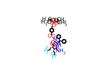 CC(C)(C)OP(=O)(OCc1ccc(C(=O)OCN2C(=O)[C@@H](NC(=O)[C@H](CCC(F)(F)F)[C@H](CCC(F)(F)F)C(N)=O)N=C(c3ccccc3)c3ccccc32)cc1)OC(C)(C)C